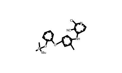 Cc1cc(Oc2ccccc2O[Si](C)(C)C(C)(C)C)ccc1Nc1ccnc(Cl)c1C#N